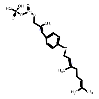 CC(C)=CCC/C(C)=C/COc1ccc(/C=C(\C)CO[PH](=O)OP(=O)(O)O)cc1